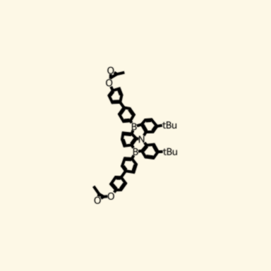 CC1OC1Oc1ccc(-c2ccc(B3c4ccc(C(C)(C)C)cc4N4c5cc(C(C)(C)C)ccc5B(c5ccc(-c6ccc(OC7OC7C)cc6)cc5)c5cccc3c54)cc2)cc1